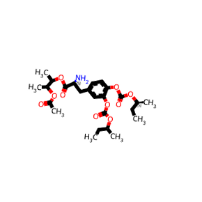 CCC(C)OC(=O)Oc1cc(C[C@H](N)C(=O)OC(C)C(C)OC(C)=O)ccc1OC(=O)O[C@@H](C)CC